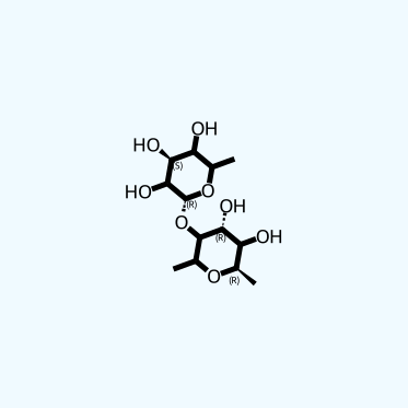 CC1O[C@H](OC2C(C)O[C@H](C)C(O)[C@H]2O)C(O)[C@@H](O)C1O